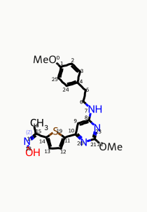 COc1ccc(CCNc2cc(-c3ccc(/C(C)=N\O)s3)nc(OC)n2)cc1